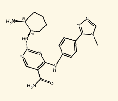 Cn1cnnc1-c1ccc(Nc2nc(N[C@@H]3CCCC[C@@H]3N)ncc2C(N)=O)cc1